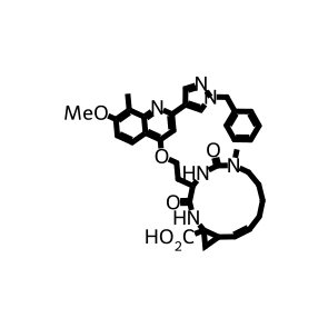 COc1ccc2c(OCCC3NC(=O)N(C)CCCCC=CC4CC4(C(=O)O)NC3=O)cc(-c3cnn(Cc4ccccc4)c3)nc2c1C